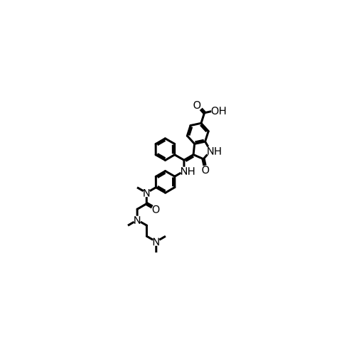 CN(C)CCN(C)CC(=O)N(C)c1ccc(N/C(=C2\C(=O)Nc3cc(C(=O)O)ccc32)c2ccccc2)cc1